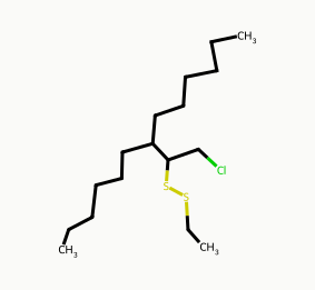 CCCCCCC(CCCCCC)C(CCl)SSCC